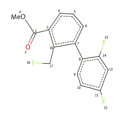 COC(=O)c1cccc(-c2ccc(F)cc2F)c1CF